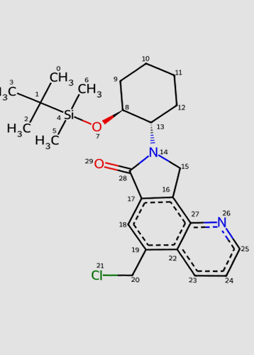 CC(C)(C)[Si](C)(C)O[C@H]1CCCC[C@@H]1N1Cc2c(cc(CCl)c3cccnc23)C1=O